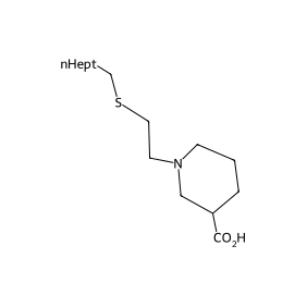 CCCCCCCCSCCN1CCCC(C(=O)O)C1